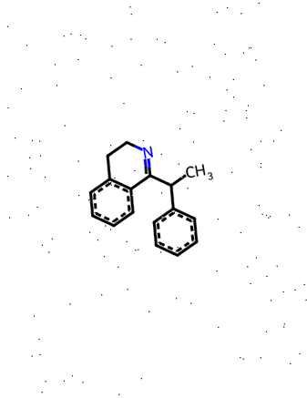 CC(C1=NCCc2ccccc21)c1ccccc1